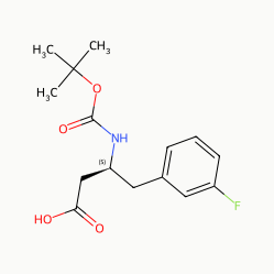 CC(C)(C)OC(=O)N[C@H](CC(=O)O)Cc1cccc(F)c1